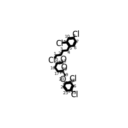 ClCC(CCc1ccc(Cl)cc1Cl)O[C@H]1CCC[C@H](COc2ccc(Cl)cc2Cl)O1